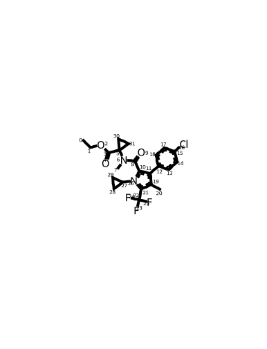 CCOC(=O)C1(N(C)C(=O)c2c(-c3ccc(Cl)cc3)c(C)c(C(F)(F)F)n2C2CC2)CC1